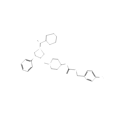 N#Cc1ccc(CNC(=O)OC2CCN(C[C@H]3CN([C@@H](C(=O)O)C4CCCCC4)C[C@@H]3c3ccccc3)CC2)cc1